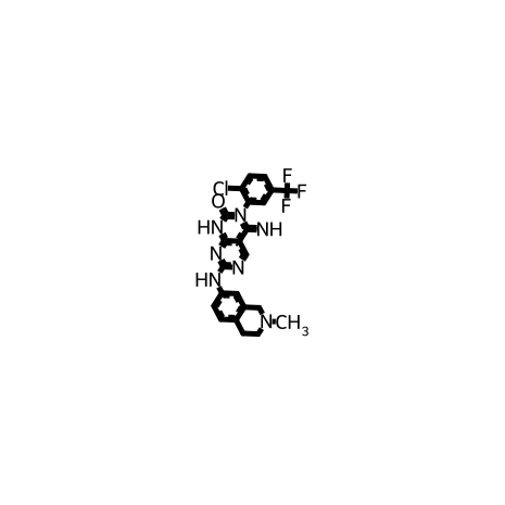 CN1CCc2ccc(Nc3ncc4c(=N)n(-c5cc(C(F)(F)F)ccc5Cl)c(=O)[nH]c4n3)cc2C1